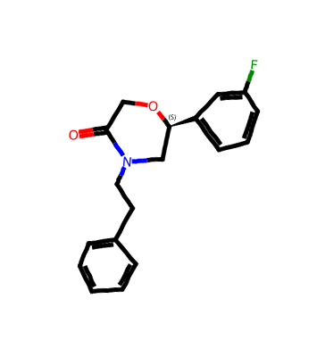 O=C1CO[C@@H](c2cccc(F)c2)CN1CCc1ccccc1